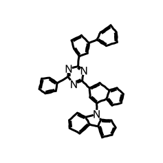 c1ccc(-c2cccc(-c3nc(-c4ccccc4)nc(-c4cc(-n5c6ccccc6c6ccccc65)c5ccccc5c4)n3)c2)cc1